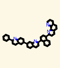 c1ccc(-c2ccc3cc(-c4ccc5ccc(-c6ccc(-c7ccc8ccc9cccnc9c8n7)c7ccccc67)nc5c4)ccc3n2)cc1